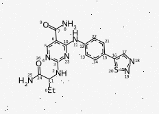 CCC(Nc1ncc(C(N)=O)c(Nc2ccc(-c3cnns3)cc2)n1)C(N)=O